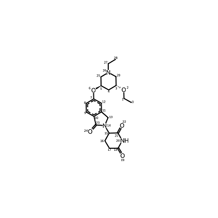 CCO[C@@H]1C[C@@H](Oc2ccc3c(c2)CN(C2CCC(=O)NC2=O)C3=O)CN(CC)C1